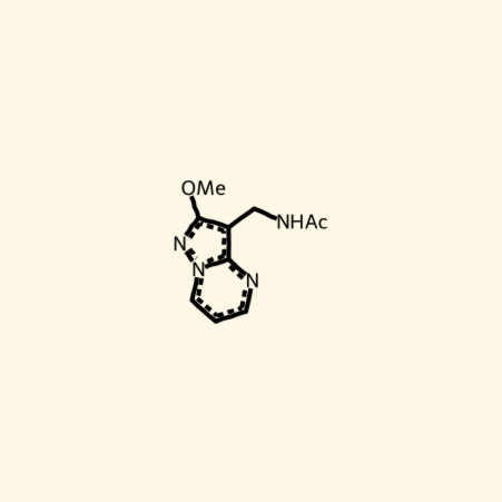 COc1nn2cccnc2c1CNC(C)=O